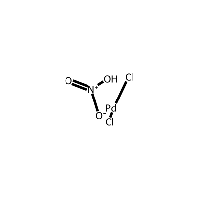 O=[N+]([O-])O.[Cl][Pd][Cl]